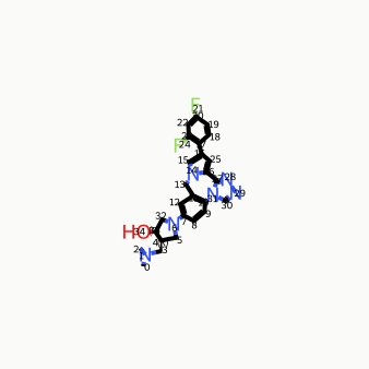 CN(C)C[C@@H]1CN(c2ccc3c(c2)Cn2cc(-c4ccc(F)cc4F)cc2-c2nncn2-3)C[C@@H]1O